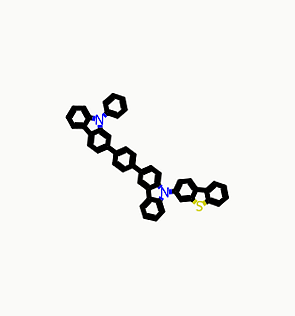 c1ccc(-n2c3ccccc3c3ccc(-c4ccc(-c5ccc6c(c5)c5ccccc5n6-c5ccc6c(c5)sc5ccccc56)cc4)cc32)cc1